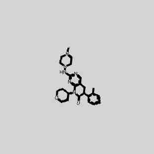 Cc1ccccc1C1Cc2cnc(NN3CCN(C)CC3)nc2N(C2CCOCC2)C1=O